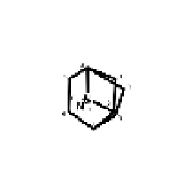 [N-]=[N+]1C2CC13CCC2CC3